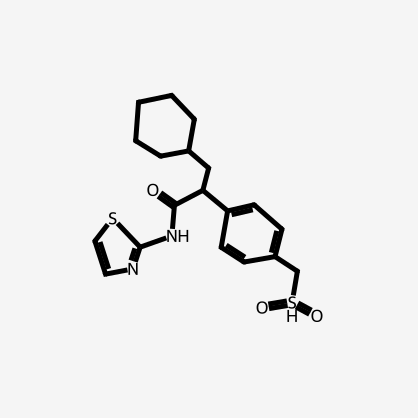 O=C(Nc1nccs1)C(CC1CCCCC1)c1ccc(C[SH](=O)=O)cc1